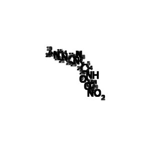 O=C(Nc1ccc(-c2cnc3cc(N4CCN(C5CC5)CC4)ccn23)cc1)c1ccc([N+](=O)[O-])o1